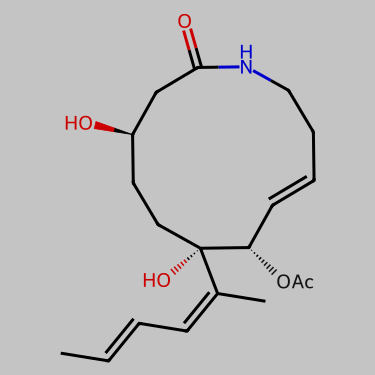 CC=C/C=C(/C)[C@@]1(O)CC[C@@H](O)CC(=O)NCC/C=C/[C@@H]1OC(C)=O